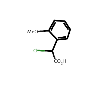 COc1ccccc1C(Cl)C(=O)O